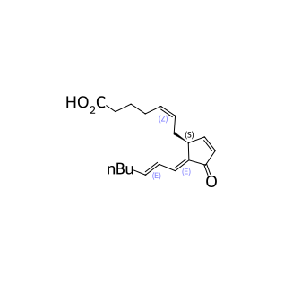 CCCC/C=C/C=C1/C(=O)C=C[C@@H]1C/C=C\CCCC(=O)O